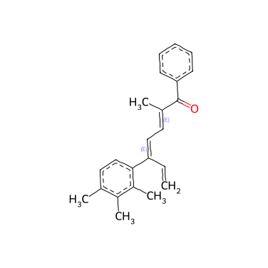 C=C/C(=C\C=C(/C)C(=O)c1ccccc1)c1ccc(C)c(C)c1C